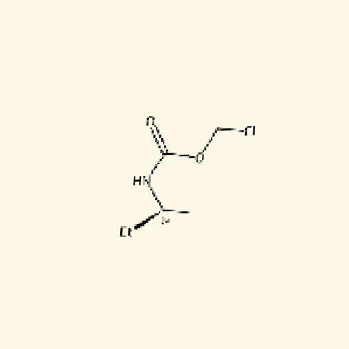 CC[C@H](C)NC(=O)OCCl